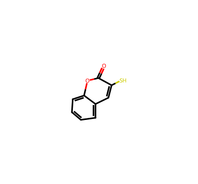 O=c1oc2ccccc2cc1S